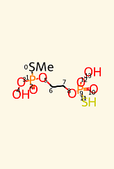 CSP(=O)(OO)OCCOP(=O)(S)OO